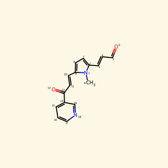 Cn1c(/C=C/C=O)ccc1/C=C/C(=O)c1cccnc1